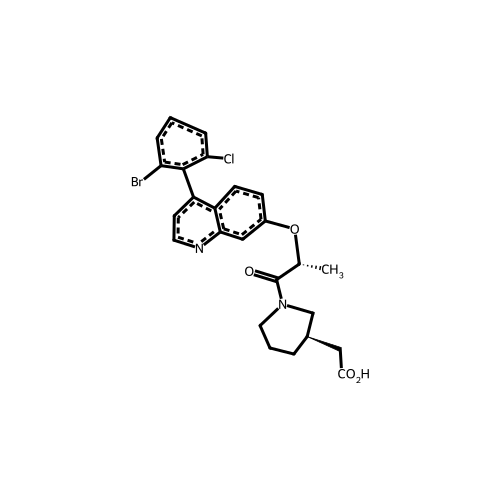 C[C@@H](Oc1ccc2c(-c3c(Cl)cccc3Br)ccnc2c1)C(=O)N1CCC[C@H](CC(=O)O)C1